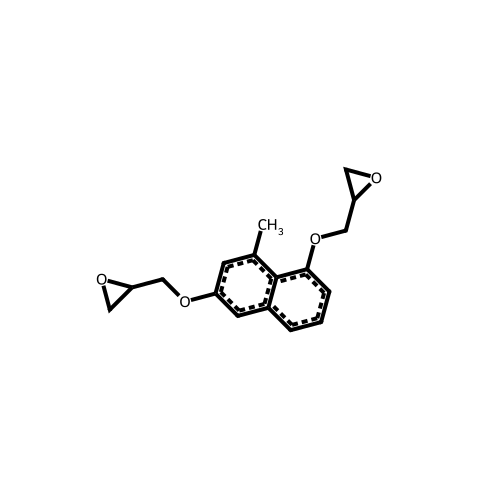 Cc1cc(OCC2CO2)cc2cccc(OCC3CO3)c12